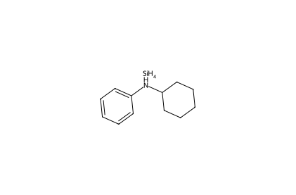 [SiH4].c1ccc(NC2CCCCC2)cc1